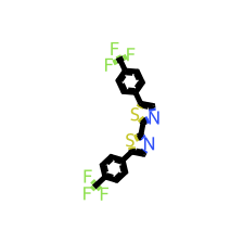 FC(F)(F)c1ccc(-c2cnc(-c3ncc(-c4ccc(C(F)(F)F)cc4)s3)s2)cc1